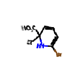 CCC1(C(=O)O)C=CC=C(Br)N1